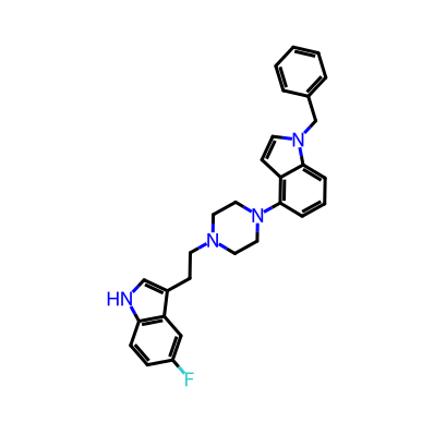 Fc1ccc2[nH]cc(CCN3CCN(c4cccc5c4ccn5Cc4ccccc4)CC3)c2c1